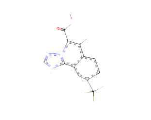 COC(=O)c1c(O)c2ccc(C(F)(F)F)cc2c2ncnn12